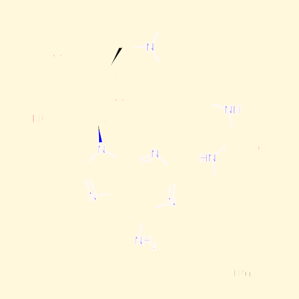 CN(C[C@H]1O[C@@H](n2cnc3c(N)ncnc32)C(O)C1O)CC1(CNC(=O)Nc2ccc(C(C)(C)C)cc2)CC1